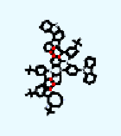 CC(C)(C)/C1=C/c2c(n(-c3ccc4c(c3)N(c3ccc(C(C)(C)C)cc3-c3ccccc3)c3cc(-c5cccc6c5sc5ccc7sc8ccccc8c7c56)cc5c3B4c3ccc(-n4c6ccccc6c6ccccc64)cc3N5c3ccc(C(C)(C)C)cc3-c3ccccc3)c3ccc(C(C)(C)C)cc23)C/C=C\C1